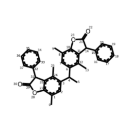 Cc1cc(C(C)c2cc(C)c3c(c2C)C(c2ccccc2)C(=O)O3)c(C)c2c1OC(=O)C2c1ccccc1